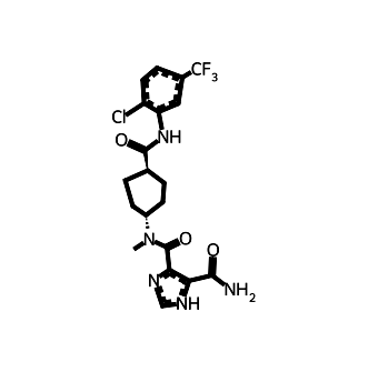 CN(C(=O)c1nc[nH]c1C(N)=O)[C@H]1CC[C@H](C(=O)Nc2cc(C(F)(F)F)ccc2Cl)CC1